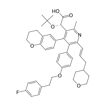 Cc1nc(C=CCC2CCOCC2)c(-c2ccc(OCCc3ccc(F)cc3)cc2)c(-c2ccc3c(c2)CCCO3)c1[C@H](OC(C)(C)C)C(=O)O